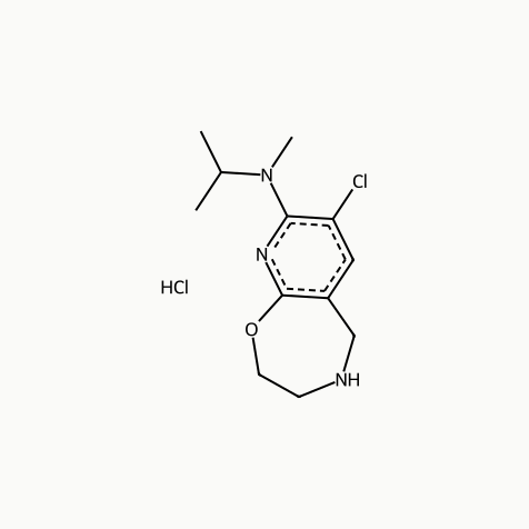 CC(C)N(C)c1nc2c(cc1Cl)CNCCO2.Cl